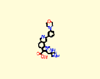 Cn1c(CC2(N)CNC2)c(C(=O)O)c2c1-c1cc(-c3cccc(N4CCOCC4)c3)ncc1CC2